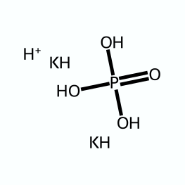 O=P(O)(O)O.[H+].[KH].[KH]